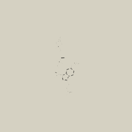 COc1ccc2c(CCN(C)C)cn(S(=O)(=O)OCC(C)(C)C(=O)OCC3(C)CN(C)C3)c2c1